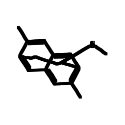 CSC1CCCc2cc3cc(C)c1cc3cc2C